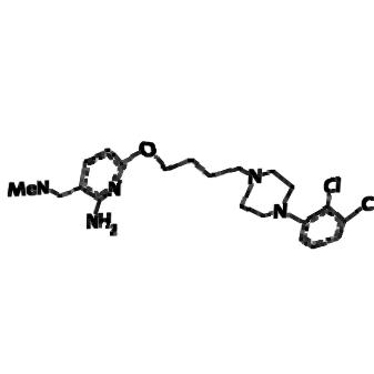 CNCc1ccc(OCCCCN2CCN(c3cccc(Cl)c3Cl)CC2)nc1N